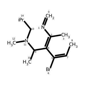 C=N/C(C)=C(/C(Br)=C\C)C(C)N(C)CC(C)C